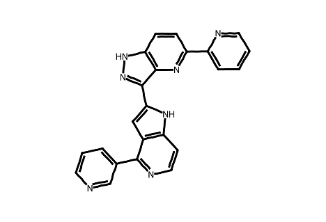 c1ccc(-c2ccc3[nH]nc(-c4cc5c(-c6cccnc6)nccc5[nH]4)c3n2)nc1